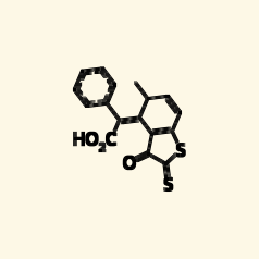 CC1C=CC2=C(C(=O)C(=S)S2)C1=C(C(=O)O)c1ccccc1